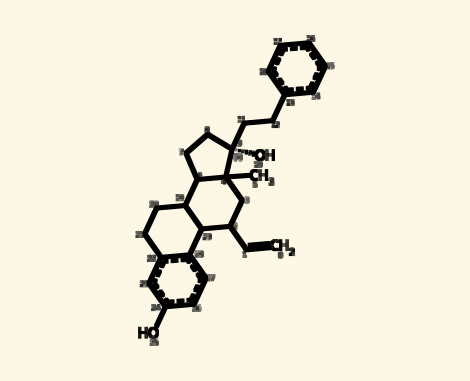 C=CC1CC2(C)C(CC[C@@]2(O)CCc2ccccc2)C2CCc3cc(O)ccc3C12